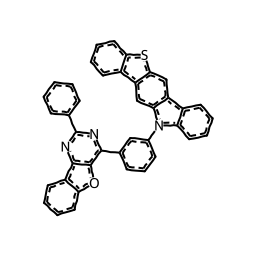 c1ccc(-c2nc(-c3cccc(-n4c5ccccc5c5cc6sc7ccccc7c6cc54)c3)c3oc4ccccc4c3n2)cc1